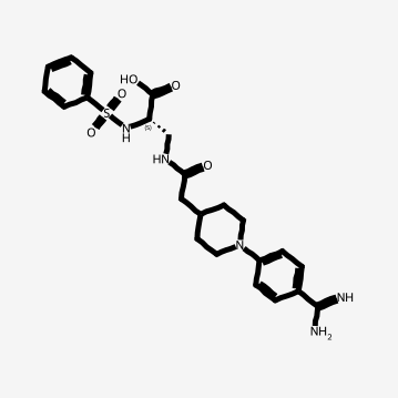 N=C(N)c1ccc(N2CCC(CC(=O)NC[C@H](NS(=O)(=O)c3ccccc3)C(=O)O)CC2)cc1